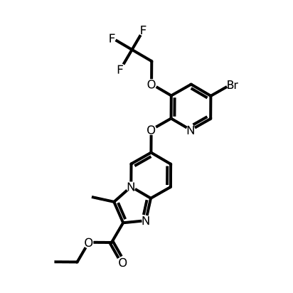 CCOC(=O)c1nc2ccc(Oc3ncc(Br)cc3OCC(F)(F)F)cn2c1C